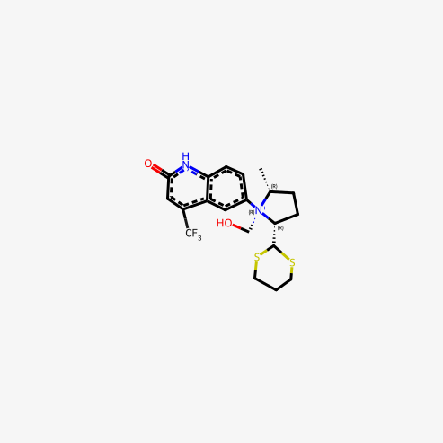 C[C@@H]1CC[C@H](C2SCCCS2)[N@@+]1(CO)c1ccc2[nH]c(=O)cc(C(F)(F)F)c2c1